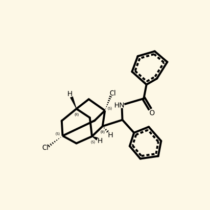 O=C(NC(c1ccccc1)[C@H]1[C@H]2C[C@@H]3C[C@](Cl)(C2)C[C@@]1(Cl)C3)c1ccccc1